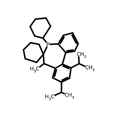 CC(C)c1cc(C(C)C)c2c(c1)C(C)C1(CCCCC1)P(C1CCCCC1)c1ccccc1-2